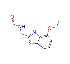 CCOc1cccc2sc(CNC=O)nc12